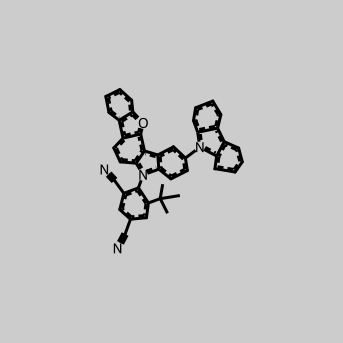 CC(C)(C)c1cc(C#N)cc(C#N)c1-n1c2ccc(-n3c4ccccc4c4ccccc43)cc2c2c3oc4ccccc4c3ccc21